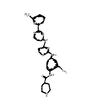 Cc1cccc(-c2nccc(Nc3ccnc(Nc4ccc(NC(=O)C5CCNCC5)c(C)c4)n3)n2)n1